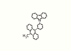 Cc1c2ccccc2c(-c2cccc(-n3c4ccccc4c4ccccc43)c2)c2ccccc12